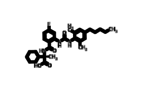 CCCCCc1cc(C)c(NC(=O)Nc2cc(F)ccc2C(=O)N[C@](C)(C(=O)O)C2CCCCC2)c(C)c1